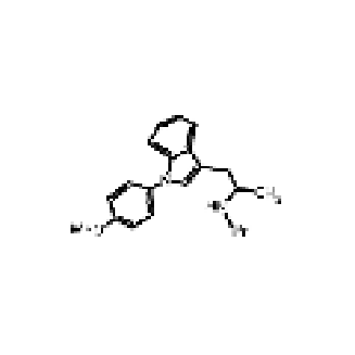 COc1ccc(-n2cc(CC(C)NC(C)C)c3ccccc32)cc1